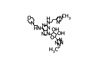 CCn1nnc([C@H]2O[C@@H](n3cnc4c(NCCN5CCOCC5)nc(NCCc5cn(C)cn5)nc43)[C@H](O)[C@@H]2O)n1